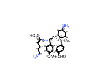 CC(=O)Nc1ccc(C=O)cc1.COc1ccc(CC(=O)O)cc1.NC1CCCCC1.NCCCC=C(N)C(=O)O